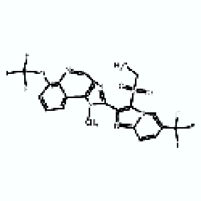 CCS(=O)(=O)c1c(-c2nc3cnc4c(OC(F)(F)F)cccc4c3n2C)nc2ccc(C(F)(F)F)cn12